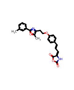 Cc1cccc(-c2nc(CCOc3ccc(C=CC=C4NC(=O)OC4=O)cc3)c(C)o2)c1